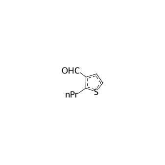 CCCc1sccc1C=O